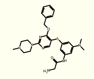 CN1CCN(c2ncc(Sc3cc(NC(=O)CN)cc(N(C)C)c3)c(OCc3ccccc3)n2)CC1